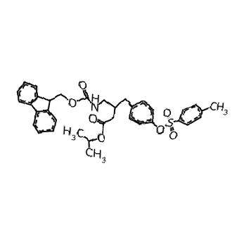 Cc1ccc(S(=O)(=O)Oc2ccc(CC(CNC(=O)OCC3c4ccccc4-c4ccccc43)CC(=O)OC(C)C)cc2)cc1